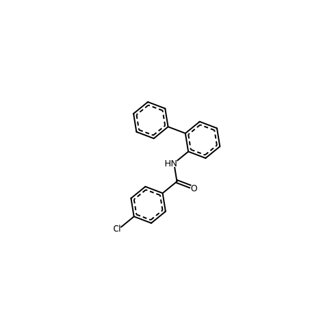 O=C(Nc1ccccc1-c1ccccc1)c1ccc(Cl)cc1